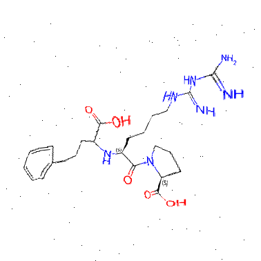 N=C(N)NC(=N)NCCCC[C@H](NC(CCc1ccccc1)C(=O)O)C(=O)N1CCC[C@H]1C(=O)O